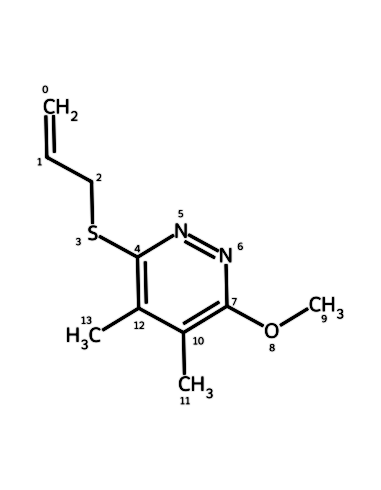 C=CCSc1nnc(OC)c(C)c1C